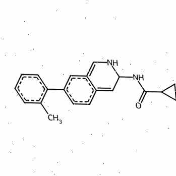 Cc1ccccc1-c1ccc2c(c1)=CNC(NC(=O)C1CC1)C=2